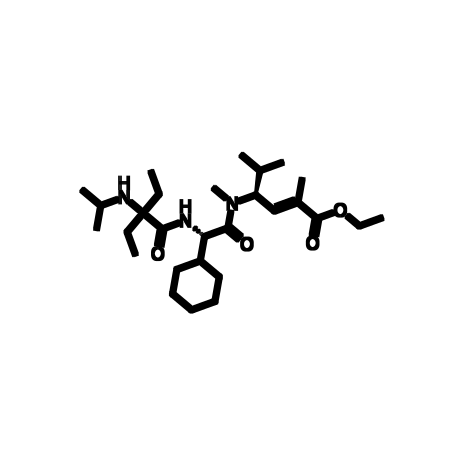 CCOC(=O)/C(C)=C/[C@H](C(C)C)N(C)C(=O)[C@@H](NC(=O)C(CC)(CC)NC(C)C)C1CCCCC1